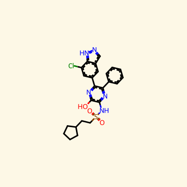 O=S(=O)(CCC1CCCC1)Nc1nc(-c2ccccc2)c(-c2cc(Cl)c3[nH]ncc3c2)nc1O